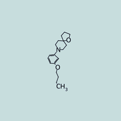 CCCCOc1cccc(N2CCC3(CCCO3)CC2)c1